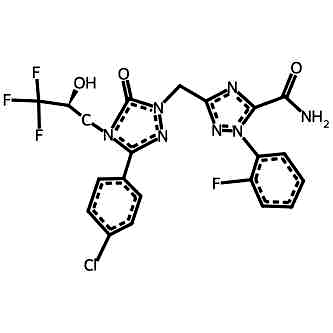 NC(=O)c1nc(Cn2nc(-c3ccc(Cl)cc3)n(C[C@H](O)C(F)(F)F)c2=O)nn1-c1ccccc1F